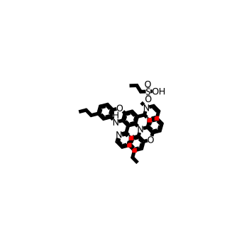 CCCS(=O)(=O)O.CCCc1ccc2c(c1)Nc1c(cc(C3N=CC=CN3C)c(N3c4ccccc4Oc4ccccc43)c1-c1nccc(CCC)n1)O2